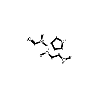 C1CCOC1.CN(C)C=O.COCCOC